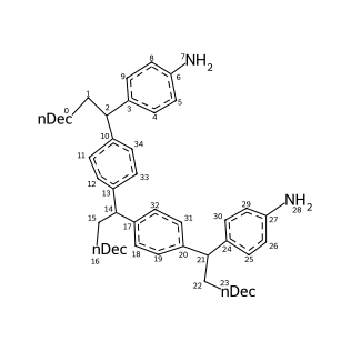 CCCCCCCCCCCC(c1ccc(N)cc1)c1ccc(C(CCCCCCCCCCC)c2ccc(C(CCCCCCCCCCC)c3ccc(N)cc3)cc2)cc1